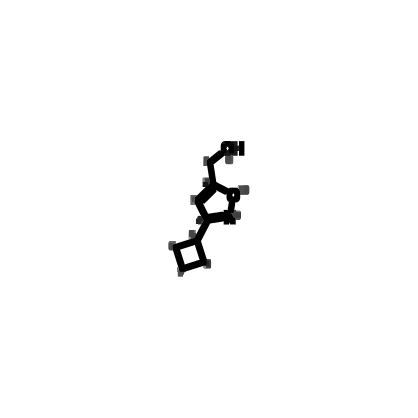 OCc1cc(C2CCC2)no1